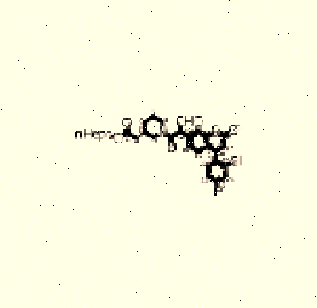 CCCCCCCOC(=O)C[C@H]1CCCN(C(=O)C(C=O)c2ccc3c(-c4ccc(F)cc4Cl)cc(=O)oc3c2)C1